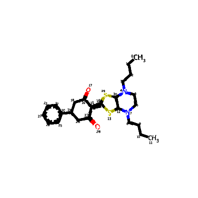 CCCCN1CCN(CCCC)C2SC(=C3C(=O)CC(c4ccccc4)CC3=O)SC21